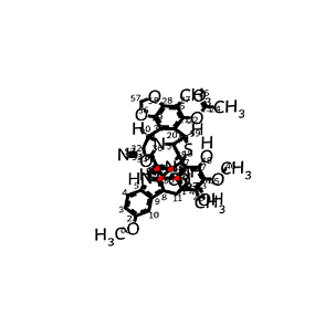 COc1ccc2[nH]c3c(c2c1)C[C@@H](CO)N[C@]31CS[C@@H]2c3c(OC(C)=O)c(C)c4c(c3[C@H](COC1=O)N1C2C2c3c(cc(C)c(OC)c3O)C[C@H]([C@@H]1C#N)N2C)OCO4